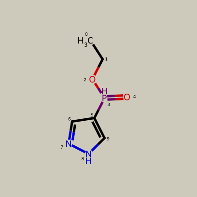 CCO[PH](=O)c1cn[nH]c1